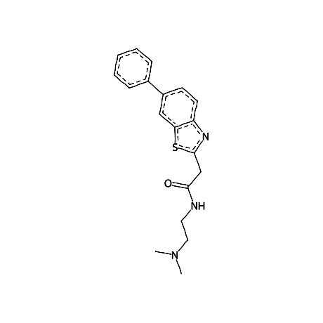 CN(C)CCNC(=O)Cc1nc2ccc(-c3ccccc3)cc2s1